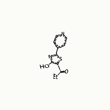 CCC(=O)c1sc(-c2ccncc2)nc1O